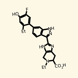 CCc1cc(O)c(F)cc1-c1ccc2c(-c3nc4c([nH]3)CN(CC)C(C(=O)O)C4)n[nH]c2c1